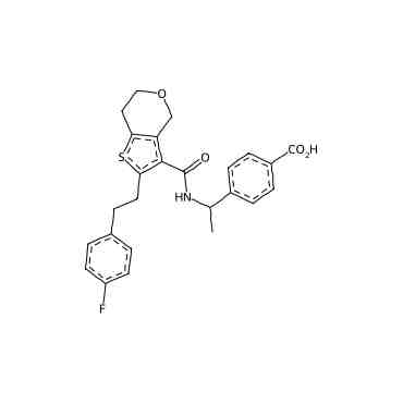 CC(NC(=O)c1c(CCc2ccc(F)cc2)sc2c1COCC2)c1ccc(C(=O)O)cc1